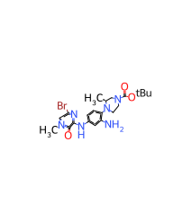 C[C@H]1CN(C(=O)OC(C)(C)C)CCN1c1ccc(Nc2nc(Br)cn(C)c2=O)cc1N